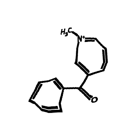 C[n+]1cccc(C(=O)c2ccccc2)c1